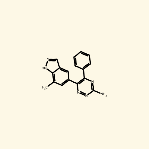 Nc1nnc(-c2cc(C(F)(F)F)c3[nH]ncc3c2)c(-c2ccccc2)n1